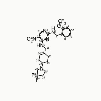 O=[N+]([O-])c1cnc(NCc2ccccc2OC(F)(F)F)nc1NC[C@H]1CC[C@H](N2CCC(F)(F)C2)CC1